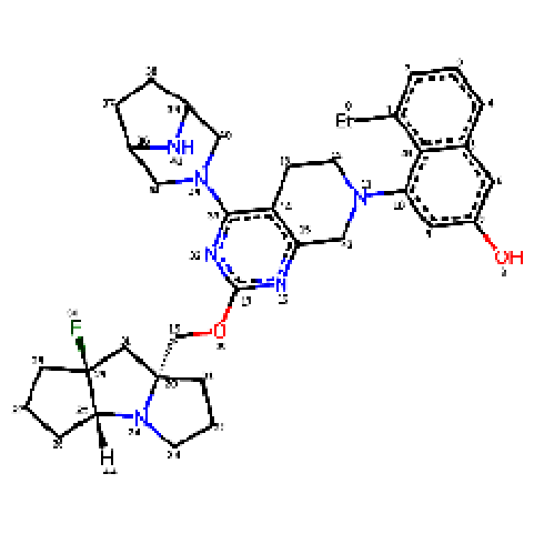 CCc1cccc2cc(O)cc(N3CCc4c(nc(OC[C@]56CCCN5[C@@H]5CCC[C@]5(F)C6)nc4N4CC5CCC(C4)N5)C3)c12